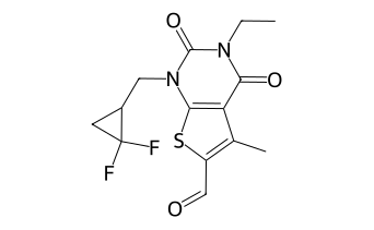 CCn1c(=O)c2c(C)c(C=O)sc2n(CC2CC2(F)F)c1=O